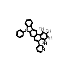 [2H]c1c([2H])c([2H])c2c(c(-c3cccnc3)cc3cc4c(cc32)c2ccccc2n4-c2ccccc2)c1[2H]